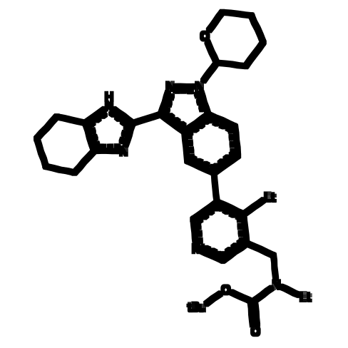 CCc1c(CN(CC)C(=O)OC(C)(C)C)cncc1-c1ccc2c(c1)c(-c1nc3c([nH]1)CCCC3)nn2C1CCCCO1